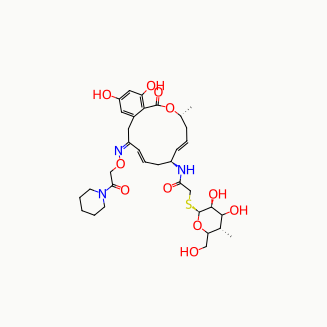 C[C@@H]1C(CO)O[C@@H](SCC(=O)N[C@@H]2/C=C/C[C@@H](C)OC(=O)c3c(O)cc(O)cc3CC(=N/OCC(=O)N3CCCCC3)/C=C/C2)[C@@H](O)C1O